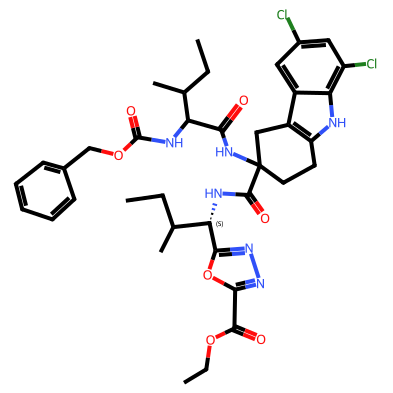 CCOC(=O)c1nnc([C@@H](NC(=O)C2(NC(=O)C(NC(=O)OCc3ccccc3)C(C)CC)CCc3[nH]c4c(Cl)cc(Cl)cc4c3C2)C(C)CC)o1